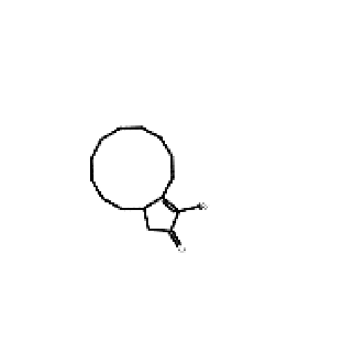 CC(C)C1=C2CCCCCCCCCCC2CC1=O